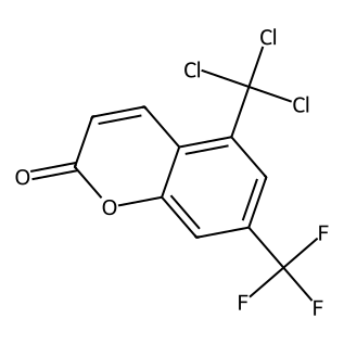 O=c1ccc2c(C(Cl)(Cl)Cl)cc(C(F)(F)F)cc2o1